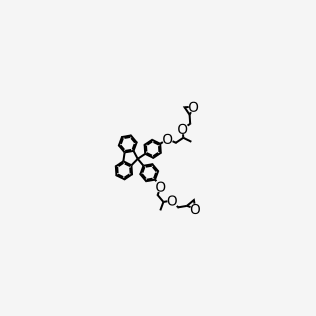 CC(COc1ccc(C2(c3ccc(OCC(C)OCC4CO4)cc3)c3ccccc3-c3ccccc32)cc1)OCC1CO1